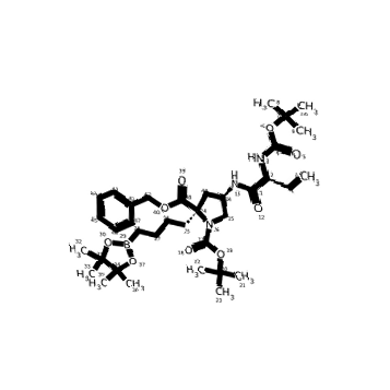 CC[C@H](NC(=O)OC(C)(C)C)C(=O)N[C@H]1CN(C(=O)OC(C)(C)C)[C@@](CCCCB2OC(C)(C)C(C)(C)O2)(C(=O)OCc2ccccc2)C1